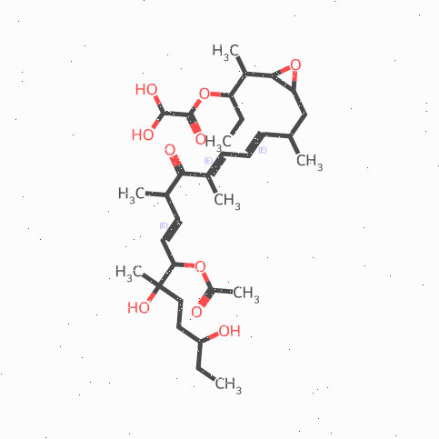 CCC(O)CCC(C)(O)C(/C=C/C(C)C(=O)/C(C)=C/C=C/C(C)CC1OC1C(C)C(CC)OC(=O)C(O)O)OC(C)=O